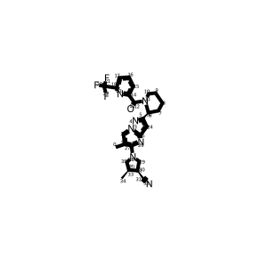 Cc1cn2nc([C@@H]3CCCCN3C(=O)c3cccc(C(F)(F)F)n3)cc2nc1N1C[C@@H](C#N)[C@@H](C)C1